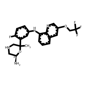 CC1(c2cc(Nc3cccc4cc(OCC(F)(F)F)cnc34)ccc2F)CNC[C@H](N)O1